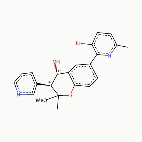 COC1(C)Oc2ccc(-c3nc(C)ccc3Br)cc2[C@H](O)[C@@H]1c1cccnc1